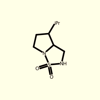 CC(C)C1CCN2C1CNS2(=O)=O